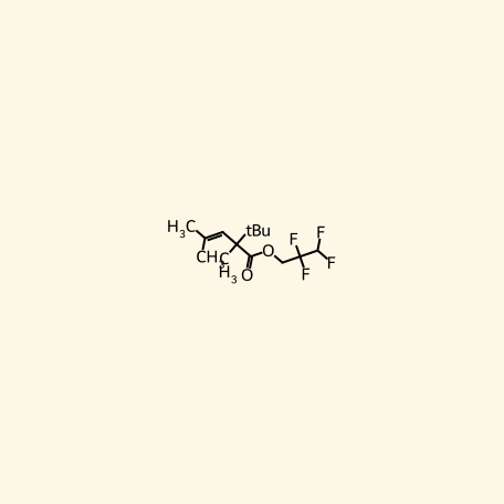 CC(C)=CC(C)(C(=O)OCC(F)(F)C(F)F)C(C)(C)C